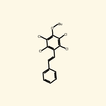 CCC(C)Oc1c(Cl)c(Cl)c(C=Cc2ccccc2)c(Cl)c1Cl